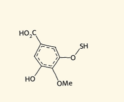 COc1c(O)cc(C(=O)O)cc1OS